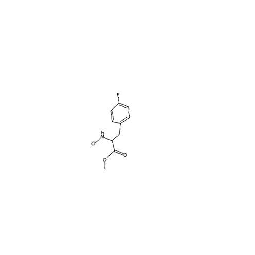 COC(=O)C(Cc1ccc(F)cc1)NCl